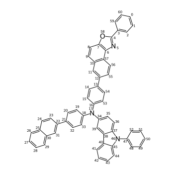 c1ccc(-c2nc3c(ccc4cc(-c5ccc(N(c6ccc(-c7ccc8ccccc8c7)cc6)c6ccc7c(c6)c6ccccc6n7-c6ccccc6)cc5)ccc43)o2)cc1